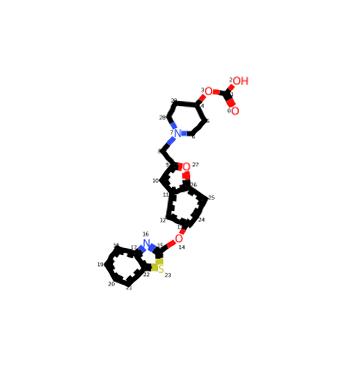 O=C(O)OC1CCN(Cc2cc3cc(Oc4nc5ccccc5s4)ccc3o2)CC1